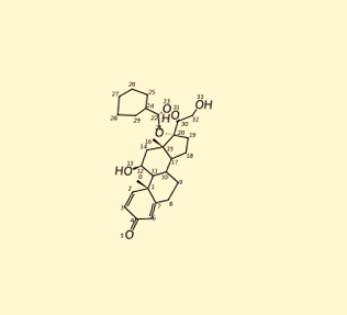 C[C@]12C=CC(=O)C=C1CCC1C2[C@@H](O)C[C@@]2(C)C1CC[C@]2(O[C@@H](O)C1CCCCC1)C(=O)CO